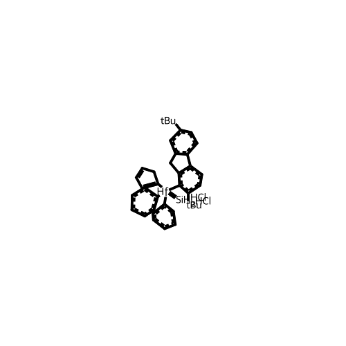 CC(C)(C)c1ccc2c(c1)Cc1c-2ccc(C(C)(C)C)[c]1[Hf](=[SiH2])([C]1=CC=CC1)([c]1ccccc1)[c]1ccccc1.Cl.Cl